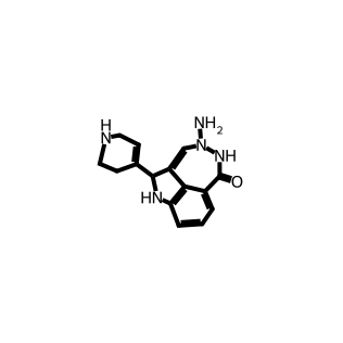 NN1C=C2c3c(cccc3C(=O)N1)NC2C1=CCNCC1